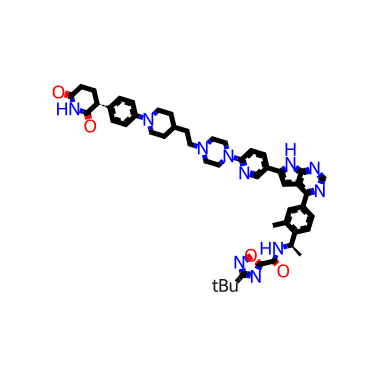 Cc1cc(-c2ncnc3[nH]c(-c4ccc(N5CCN(CCC6CCN(c7ccc([C@H]8CCC(=O)NC8=O)cc7)CC6)CC5)nc4)cc23)ccc1[C@@H](C)NC(=O)c1nc(C(C)(C)C)no1